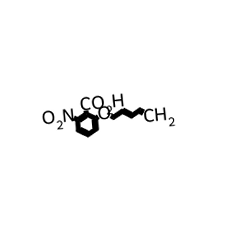 C=CC=CCOc1cccc([N+](=O)[O-])c1C(=O)O